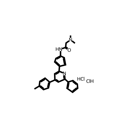 Cc1ccc(-c2cc(-c3ccccc3)nc(-c3ccc(NC(=O)CN(C)C)cc3)c2)cc1.Cl.Cl